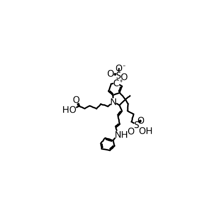 CC1(CCCCS(=O)(=O)O)C2=C[C+](S(=O)(=O)[O-])CC=C2N(CCCCCC(=O)O)C1C=CC=CNc1ccccc1